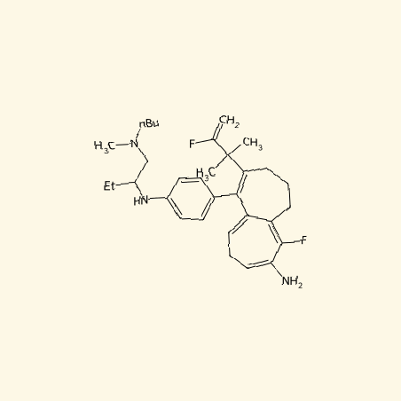 C=C(F)C(C)(C)C1=C(c2ccc(NC(CC)CN(C)CCCC)cc2)C2=CCC=C(N)C(F)=C2CCC1